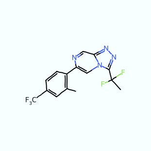 Cc1cc(C(F)(F)F)ccc1-c1cn2c(C(C)(F)F)nnc2cn1